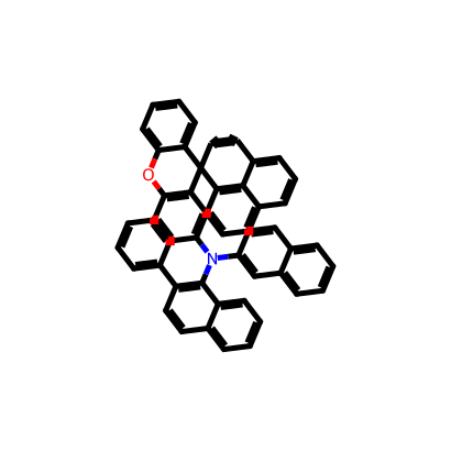 c1ccc(-c2ccc3ccccc3c2N(c2ccc3c(c2)C2(c4ccccc4O3)c3ccccc3-c3cccc4cccc2c34)c2ccc3ccccc3c2)cc1